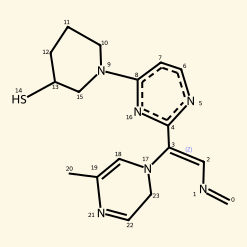 C=N/C=C(/c1nccc(N2CCCC(S)C2)n1)N1C=C(C)N=CC1